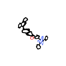 C1=CC(c2nc(-c3ccccc3)nc(-c3ccc4c(c3)oc3cc5ccc(-c6cc7ccccc7c7ccccc67)cc5cc34)n2)=CCC1